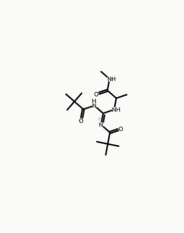 CNC(=O)C(C)N/C(=N\C(=O)C(C)(C)C)NC(=O)C(C)(C)C